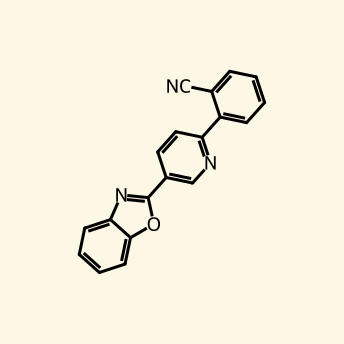 N#Cc1ccccc1-c1ccc(-c2nc3ccccc3o2)cn1